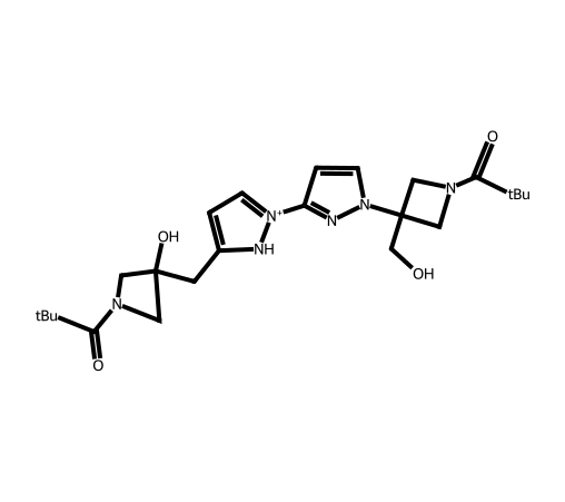 CC(C)(C)C(=O)N1CC(O)(Cc2cc[n+](-c3ccn(C4(CO)CN(C(=O)C(C)(C)C)C4)n3)[nH]2)C1